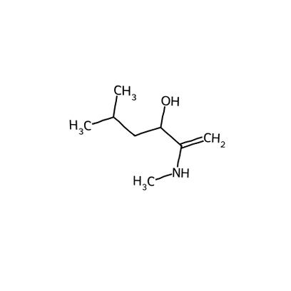 C=C(NC)C(O)CC(C)C